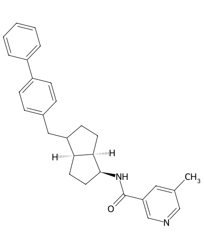 Cc1cncc(C(=O)N[C@H]2CC[C@H]3C(Cc4ccc(-c5ccccc5)cc4)CC[C@@H]23)c1